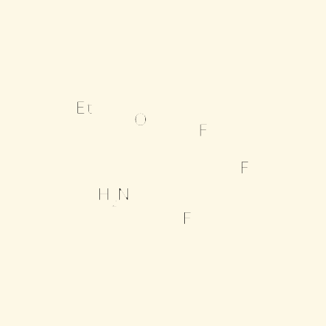 CCOC(N)C(F)(F)F